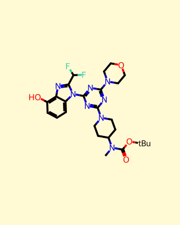 CN(C(=O)OC(C)(C)C)C1CCN(c2nc(N3CCOCC3)nc(-n3c(C(F)F)nc4c(O)cccc43)n2)CC1